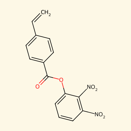 C=Cc1ccc(C(=O)Oc2cccc([N+](=O)[O-])c2[N+](=O)[O-])cc1